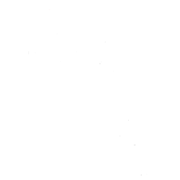 CC(CCO)CCOC(=O)CCCCCCCCC(=O)O